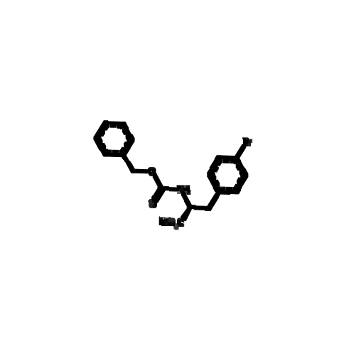 CCOC(=O)[C@H](Cc1ccc(Br)cc1)NC(=O)OCc1ccccc1